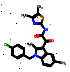 Cc1ccc2c(c1)c(C(=O)C(=O)Nc1nc(C)c(C)s1)c(C)n2Cc1ccc(Cl)cc1